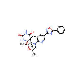 C[C@@H]1CN2c3ncc(-c4noc(-c5ccccc5)n4)cc3CC3(C(=O)NC(=O)NC3=O)[C@H]2[C@H](C)O1